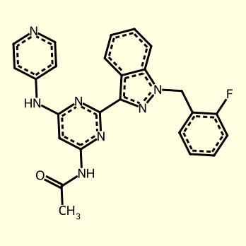 CC(=O)Nc1cc(Nc2ccncc2)nc(-c2nn(Cc3ccccc3F)c3ccccc23)n1